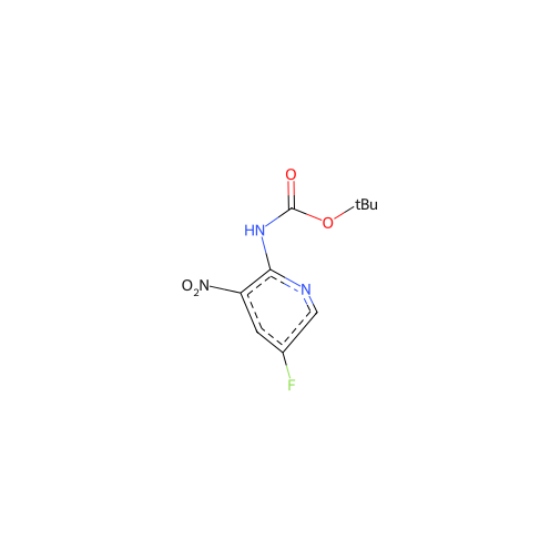 CC(C)(C)OC(=O)Nc1ncc(F)cc1[N+](=O)[O-]